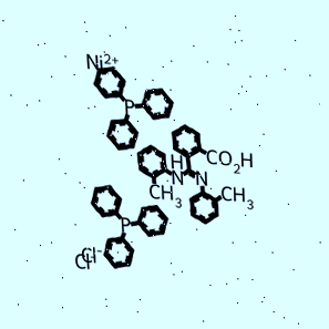 Cc1ccccc1N=C(Nc1ccccc1C)c1ccccc1C(=O)O.[Cl-].[Cl-].[Ni+2].c1ccc(P(c2ccccc2)c2ccccc2)cc1.c1ccc(P(c2ccccc2)c2ccccc2)cc1